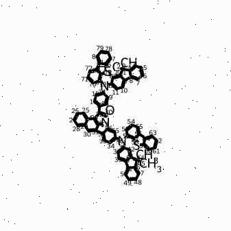 CC1(C)c2ccccc2-c2ccc(N(c3ccc4c(c3)oc3c4c4c5ccccc5cc5c6ccc(N(c7ccc8c(c7)C(C)(C)c7ccccc7-8)c7cccc8c7sc7ccccc78)cc6n3c54)c3cccc4c3sc3ccccc34)cc21